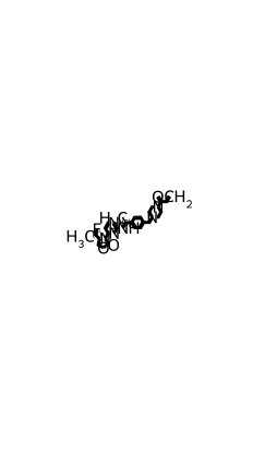 C=CC(=O)N1CCN(Cc2ccc([C@H](C)Nc3nccc(N4C(=O)OCC4[C@@H](C)F)n3)cc2)CC1